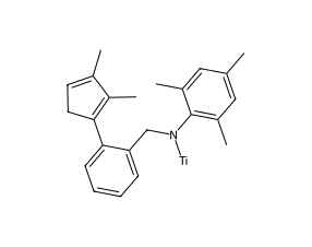 CC1=CCC(c2ccccc2C[N]([Ti])c2c(C)cc(C)cc2C)=C1C